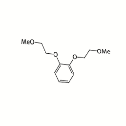 COCCOc1ccccc1OCCOC